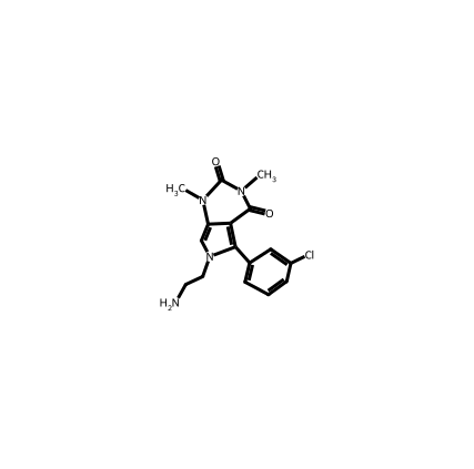 Cn1c(=O)c2c(-c3cccc(Cl)c3)n(CCN)cc2n(C)c1=O